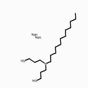 CCCCCCCCCCCCN(CCCO)CCCO.[NaH].[NaH]